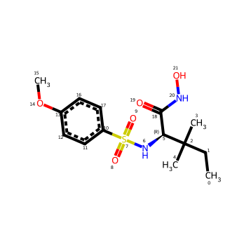 CCC(C)(C)[C@@H](NS(=O)(=O)c1ccc(OC)cc1)C(=O)NO